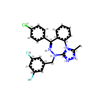 Cc1nnc2n1-c1ccccc1C(c1ccc(Cl)cc1)=NN2Cc1cc(F)cc(F)c1